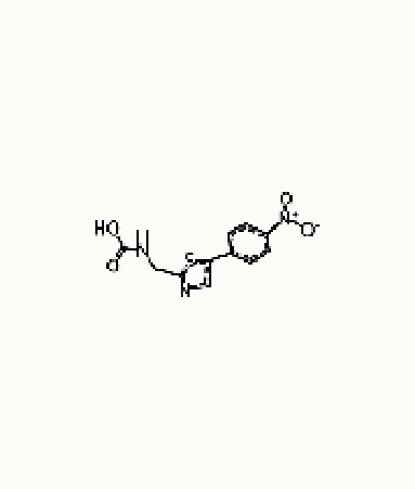 O=C(O)NCc1ncc(-c2ccc([N+](=O)[O-])cc2)s1